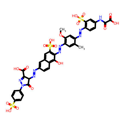 COc1cc(/N=N/c2ccc(NC(=O)C(=O)O)cc2S(=O)(=O)O)c(C)cc1/N=N/c1c(S(=O)(=O)O)cc2cc(/N=N/C3C(=O)N(c4ccc(S(=O)(=O)O)cc4)N=C3C(=O)O)ccc2c1O